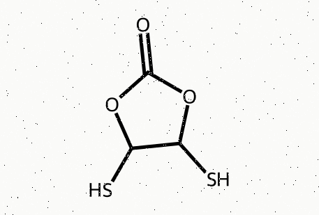 O=C1OC(S)C(S)O1